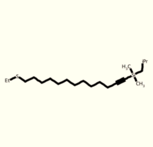 CCSCCCCCCCCCCCC#C[Si](C)(C)CC(C)C